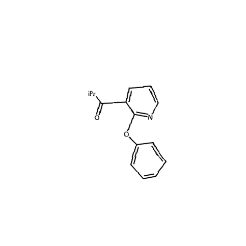 CC(C)C(=O)c1cccnc1Oc1ccccc1